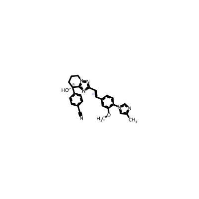 COc1cc(/C=C/c2nc3n(n2)CCC[C@]3(O)c2ccc(C#N)cc2)ccc1-n1cnc(C)c1